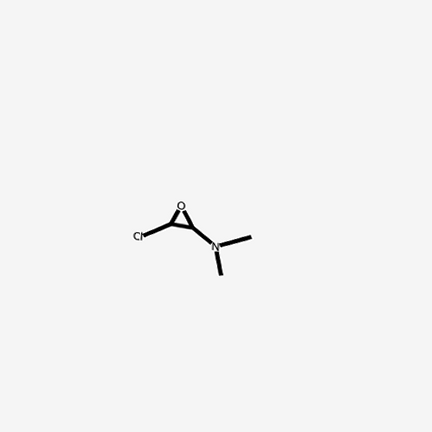 CN(C)C1OC1Cl